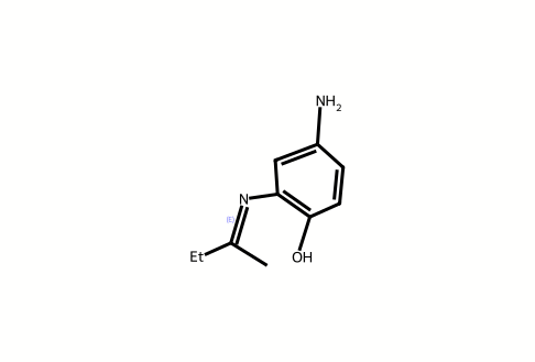 CC/C(C)=N/c1cc(N)ccc1O